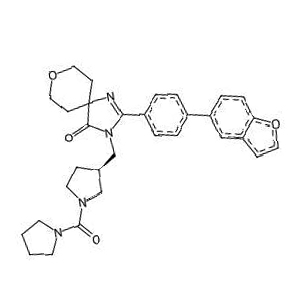 O=C(N1CCCC1)N1CC[C@@H](CN2C(=O)C3(CCOCC3)N=C2c2ccc(-c3ccc4occc4c3)cc2)C1